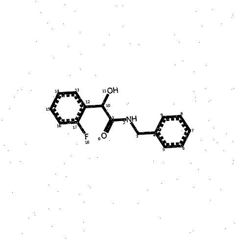 O=C(NCc1ccccc1)C(O)c1ccccc1F